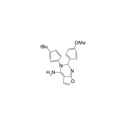 COc1ccc(C2N=c3occc3=C(N)N2c2ccc(C(C)(C)C)cc2)cc1